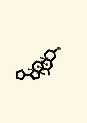 CC1C=C2CC(O)CC[C@]2(C)[C@@H]2CC[C@]3(C)C(C4CCCO4)=CC[C@H]3[C@H]12